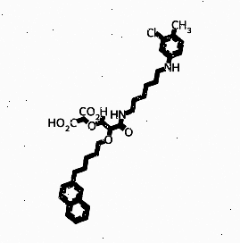 Cc1ccc(NCCCCCCNC(=O)C(OCCCCCc2ccc3ccccc3c2)C(OCC(=O)O)C(=O)O)cc1Cl